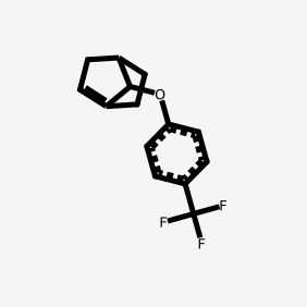 FC(F)(F)c1ccc(OC2C3=CCC2CC3)cc1